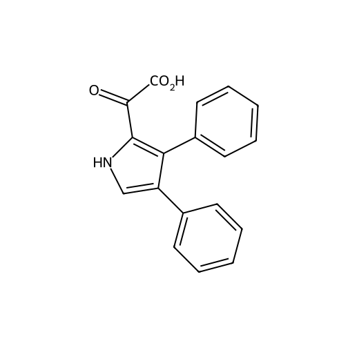 O=C(O)C(=O)c1[nH]cc(-c2ccccc2)c1-c1ccccc1